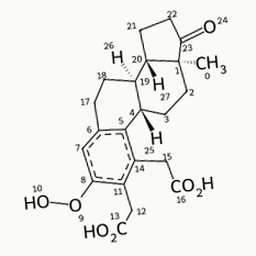 C[C@]12CC[C@@H]3c4c(cc(OO)c(CC(=O)O)c4CC(=O)O)CC[C@H]3[C@@H]1CCC2=O